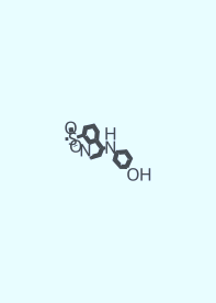 CS(=O)(=O)c1cccc2c(Nc3ccc(O)cc3)ccnc12